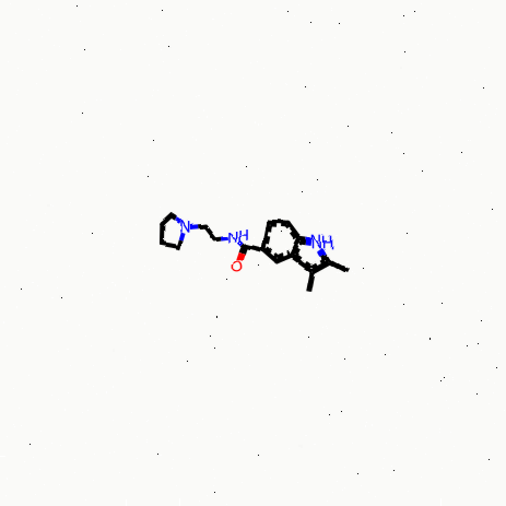 Cc1[nH]c2ccc(C(=O)NCCN3CCCC3)cc2c1C